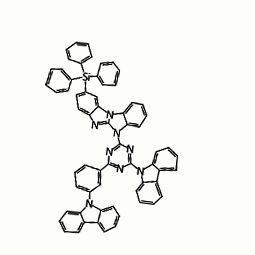 c1ccc([Si](c2ccccc2)(c2ccccc2)c2ccc3nc4n(-c5nc(-c6cccc(-n7c8ccccc8c8ccccc87)c6)nc(-n6c7ccccc7c7ccccc76)n5)c5ccccc5n4c3c2)cc1